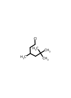 CC(CCCl)CC(C)(C)C